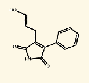 O=C1NC(=O)C(c2ccccc2)=C1CC=CO